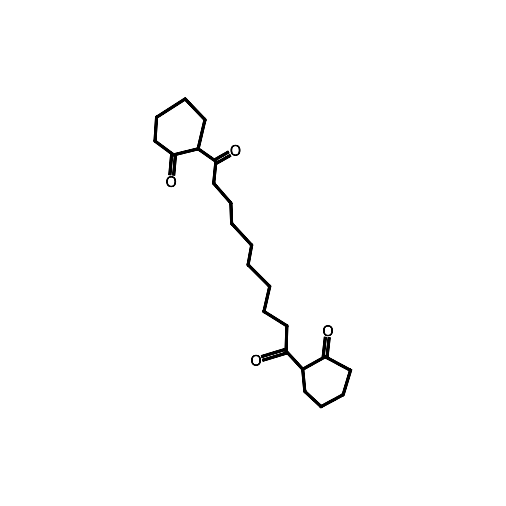 O=C(CCCCCCCCC(=O)C1CCCCC1=O)C1CCCCC1=O